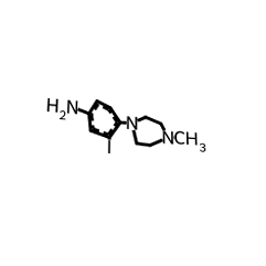 CN1CCN(c2ccc(N)cc2I)CC1